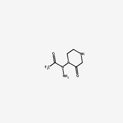 NN(C(=O)C(F)(F)F)N1CCNCC1=O